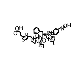 CC[C@H](C)[C@@H](C(=O)N[C@@H](Cc1ccccc1)[C@@H](O)CN(CC(C)C)S(=O)(=O)c1ccc(C=NO)cc1)N1CCN(Cc2csc(CCC(=O)O)n2)C1=O